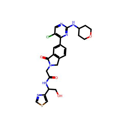 O=C(CN1Cc2ccc(-c3nc(NC4CCOCC4)ncc3Cl)cc2C1=O)NC(CO)c1cscn1